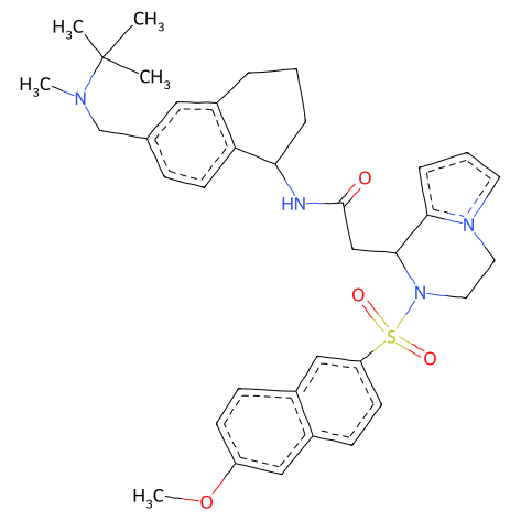 COc1ccc2cc(S(=O)(=O)N3CCn4cccc4C3CC(=O)NC3CCCc4cc(CN(C)C(C)(C)C)ccc43)ccc2c1